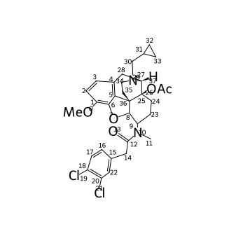 COc1ccc2c3c1OC1C(N(C)C(=O)Cc4ccc(Cl)c(Cl)c4)CC[C@@]4(OC(C)=O)[C@@H](C2)N(CC2CC2)CC[C@]314